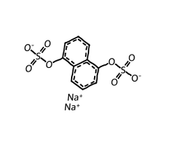 O=S(=O)([O-])Oc1cccc2c(OS(=O)(=O)[O-])cccc12.[Na+].[Na+]